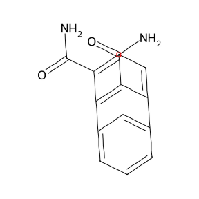 NC(=O)c1ccc2c(C(N)=O)c1c1cccc2c1